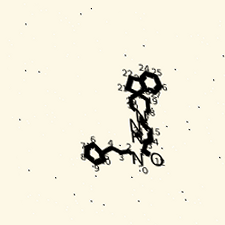 CN(CCCc1ccccc1)C(=O)c1ccc(N2CCC3(C=Cc4ccccc43)CC2)nn1